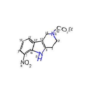 CCOC(=O)N1CCc2[nH]c3c([N+](=O)[O-])cccc3c2C1